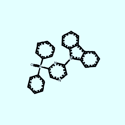 O=P(c1ccccc1)(c1ccccc1)c1cncc(-n2c3ccccc3c3ccccc32)n1